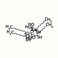 CCCCCCCCCC(S)CCC(CCC(S)CCCCCCCCC)(C[C@H](O)[C@H](O)CO)C(CCC(S)CCCCCCCCC)(CCC(S)CCCCCCCCC)C(=O)O